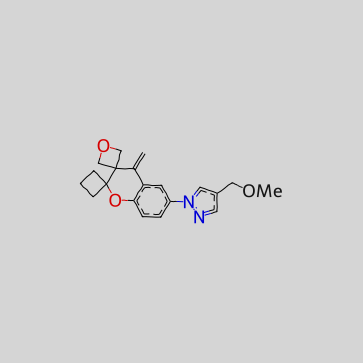 C=C1c2cc(-n3cc(COC)cn3)ccc2OC2(CCC2)C12COC2